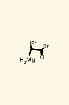 CC(C)C(C)C(=O)Br.[MgH2]